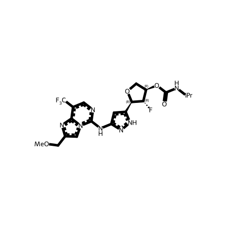 COCc1cn2c(Nc3cc([C@H]4OC[C@@H](OC(=O)NC(C)C)[C@@H]4F)[nH]n3)ncc(C(F)(F)F)c2n1